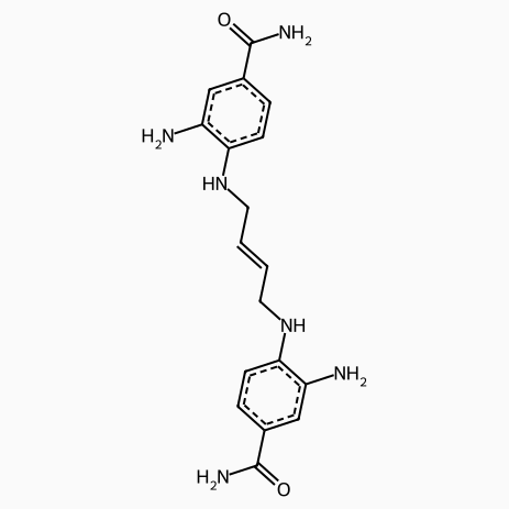 NC(=O)c1ccc(NC/C=C/CNc2ccc(C(N)=O)cc2N)c(N)c1